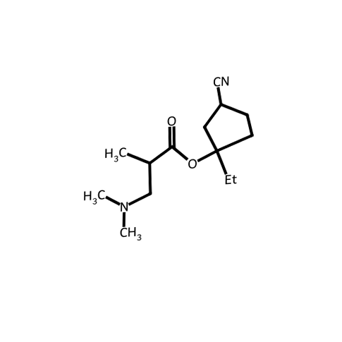 CCC1(OC(=O)C(C)CN(C)C)CCC(C#N)C1